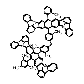 Cc1cc(C)c(-c2c3cc4c5cccc6c7ccccc7n(c4cc3c(-c3c(C)cc(Cc4ccc(-c7c8cc9c%10cccc%11c%12ccccc%12n(c9cc8c(-c8ccccc8C)c8cc9c%12cccc%13c%14ccccc%14n(c9cc78)c%13%12)c%11%10)c(C)c4)cc3C)c3cc4c7cccc8c9ccccc9n(c4cc23)c87)c65)c(C)c1